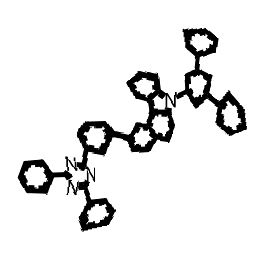 c1ccc(-c2cc(-c3ccccc3)cc(-n3c4ccccc4c4c5cc(-c6cccc(-c7nc(-c8ccccc8)nc(-c8ccccc8)n7)c6)ccc5ccc43)c2)cc1